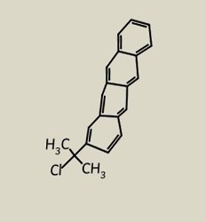 CC(C)(Cl)c1ccc2cc3cc4ccccc4cc3cc2c1